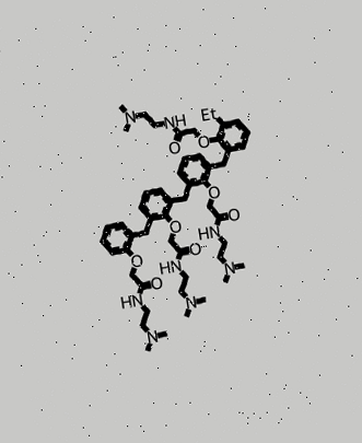 CCc1cccc(Cc2cccc(Cc3cccc(Cc4ccccc4OCC(=O)NCCN(C)C)c3OCC(=O)NCCN(C)C)c2OCC(=O)NCCN(C)C)c1OCC(=O)NCCN(C)C